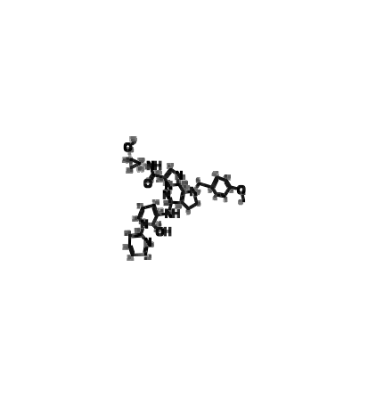 COc1ccc(CN2CCc3c(NC4=CC=CN(c5ccccn5)C4O)nn4c(C(=O)N[C@@H]5C[C@@H]5OC)cnc4c32)cc1